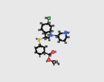 COC(=O)c1cccc(Sc2cn(-c3cccnc3)c3cc(Cl)ccc23)c1